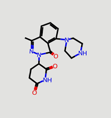 Cc1nn(C2CCC(=O)NC2=O)c(=O)c2c(N3CCNCC3)cccc12